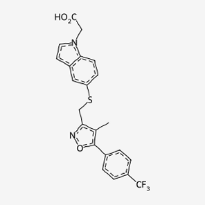 Cc1c(CSc2ccc3c(ccn3CC(=O)O)c2)noc1-c1ccc(C(F)(F)F)cc1